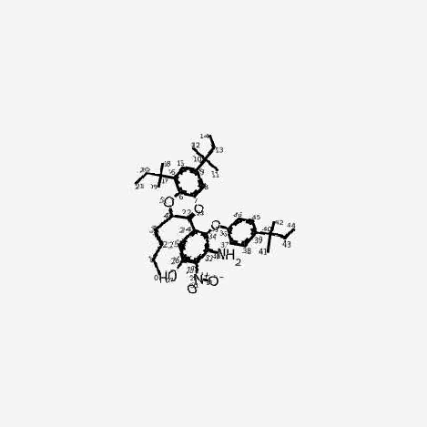 CCCCC(Oc1ccc(C(C)(C)CC)cc1C(C)(C)CC)C(=O)c1cc(O)c([N+](=O)[O-])c(N)c1Oc1ccc(C(C)(C)CC)cc1